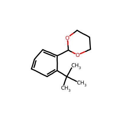 CC(C)(C)c1ccccc1C1OCCCO1